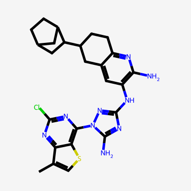 Cc1csc2c(-n3nc(Nc4cc5c(nc4N)CCC(C4CC6CCC4C6)C5)nc3N)nc(Cl)nc12